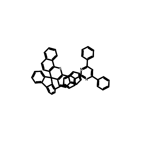 c1ccc(-c2cc(-c3ccccc3)nc(-c3ccc(-c4cccc5c4C4(c6ccccc6-5)c5ccc6ccccc6c5Sc5c4ccc4ccccc54)cc3)n2)cc1